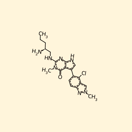 CCC[C@H](N)CNc1nc2[nH]cc(-c3ccc4nn(C)cc4c3Cl)c2c(=O)n1C